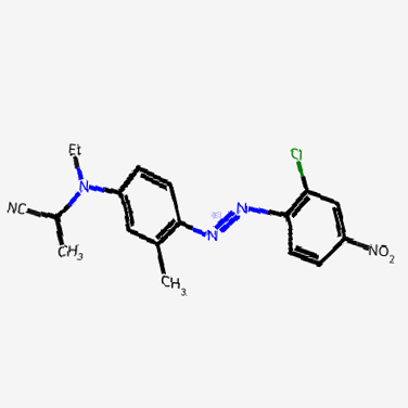 CCN(c1ccc(/N=N/c2ccc([N+](=O)[O-])cc2Cl)c(C)c1)C(C)C#N